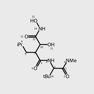 CNC(=O)C(NC(=O)C(CC(C)C)C(O)C(=O)NO)C(C)(C)C